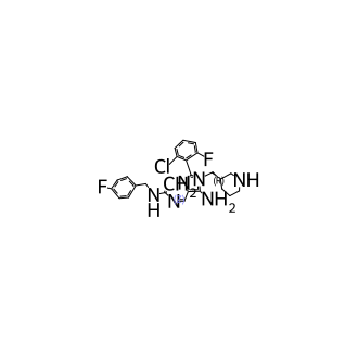 C=C(/N=C\c1nc(-c2c(F)cccc2Cl)n(C[C@@H]2CCCNC2)c1N)NCc1ccc(F)cc1